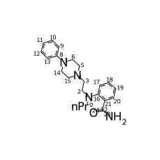 CCCN(CCN1CCN(c2ccccc2)CC1)c1ccccc1C(N)=O